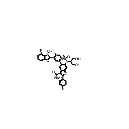 CNC(=O)c1c(-c2ccc(F)cc2)oc2cc(N(C(CO)CO)S(C)(=O)=O)c(-c3ccc(OC)c(-c4nc5c(F)cccc5o4)c3)cc12